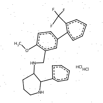 COc1ccc(-c2ccccc2C(F)(F)F)cc1CNC1CCCNC1c1ccccc1.Cl.Cl